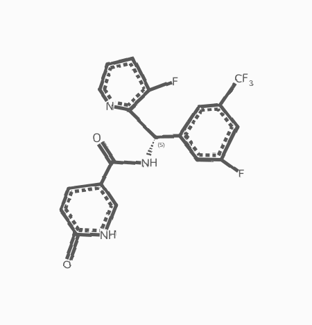 O=C(N[C@@H](c1cc(F)cc(C(F)(F)F)c1)c1ncccc1F)c1ccc(=O)[nH]c1